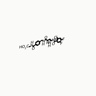 O=C(O)CNC(=O)c1ccc(CNC(=O)c2cc(NC(=O)c3cc(F)c(F)cc3Cl)[nH]n2)cc1